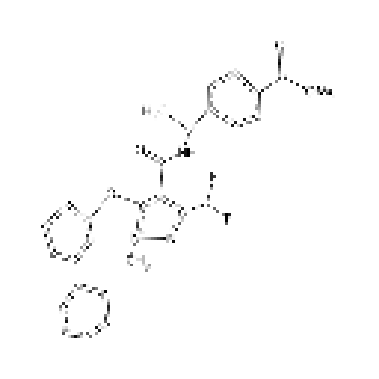 COC(=O)c1ccc(C(C)NC(=O)c2c(C(F)F)nn(C)c2Oc2cccc(-c3ccccc3)c2)cc1